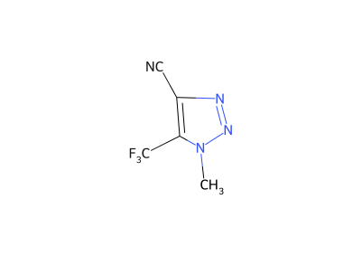 Cn1nnc(C#N)c1C(F)(F)F